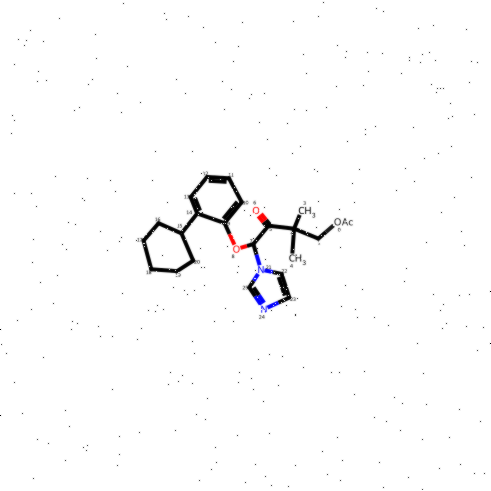 CC(=O)OCC(C)(C)C(=O)C(Oc1ccccc1C1CCCCC1)n1ccnc1